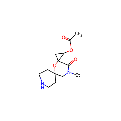 CCN1CC2(CCNCC2)OC2(CC2OC(=O)C(F)(F)F)C1=O